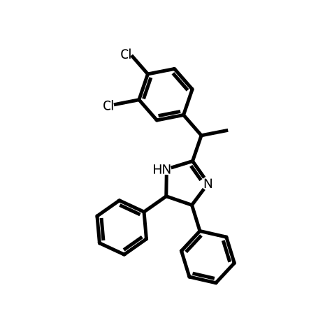 CC(C1=NC(c2ccccc2)C(c2ccccc2)N1)c1ccc(Cl)c(Cl)c1